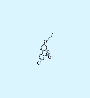 CCCCOc1ccc(-c2ccc(Cl)cc2[N+](=O)[O-])cc1